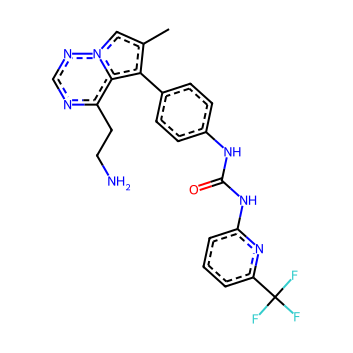 Cc1cn2ncnc(CCN)c2c1-c1ccc(NC(=O)Nc2cccc(C(F)(F)F)n2)cc1